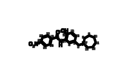 O=C(Nc1cc(CN2CCCCCC2)ccc1O)c1ccc([N+](=O)[O-])cc1